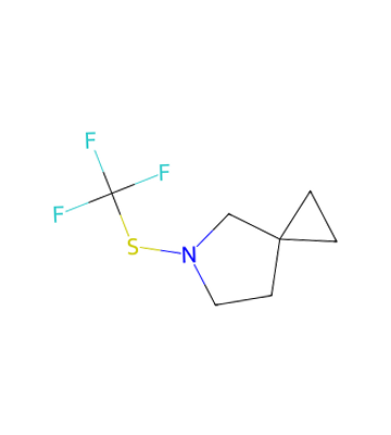 FC(F)(F)SN1CCC2(CC2)C1